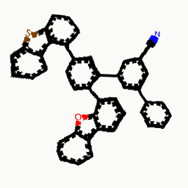 N#Cc1cc(-c2ccccc2)cc(-c2cc(-c3cccc4sc5ccccc5c34)ccc2-c2cccc3c2oc2ccccc23)c1